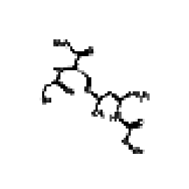 COC(=O)[C@H](CSC(C)CC(NC(=O)OC(C)(C)C)C(=O)O)NC(=O)CC(C)(C)C